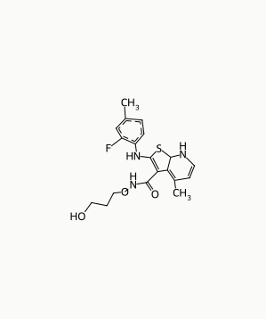 CC1=C2C(C(=O)NOCCCO)=C(Nc3ccc(C)cc3F)SC2NC=C1